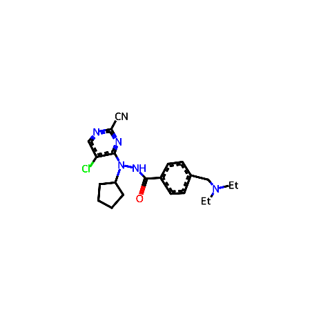 CCN(CC)Cc1ccc(C(=O)NN(c2nc(C#N)ncc2Cl)C2CCCC2)cc1